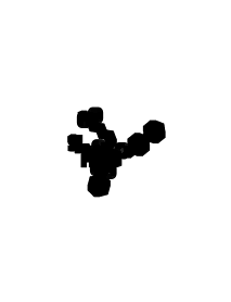 COC(=O)CCC/C=C\C[C@@H]1[C@@H](NC(=O)OCC[Si](C)(C)C)[C@H](OC(=O)c2ccccc2)C[C@H]1OCc1ccc(-c2ccccc2)cc1